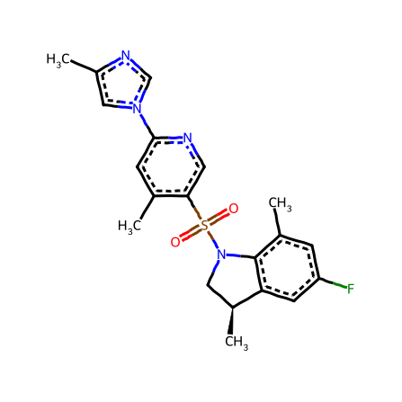 Cc1cn(-c2cc(C)c(S(=O)(=O)N3C[C@H](C)c4cc(F)cc(C)c43)cn2)cn1